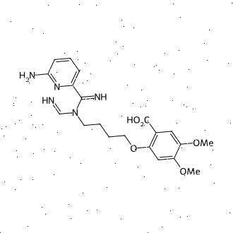 COc1cc(OCCCCN(C=N)C(=N)c2cccc(N)n2)c(C(=O)O)cc1OC